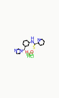 Cl.Cl.O.S=C(Nc1cccc(Cn2ccnc2)c1)c1ccccn1